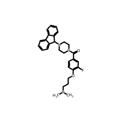 CN(C)CCCOc1ccc(C(=O)N2CCN(C3c4ccccc4-c4ccccc43)CC2)cc1F